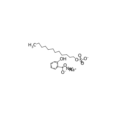 CCCCCCCCCCCCOS(=O)(=O)[O-].O=C([O-])c1ccccc1O.[Na+].[Na+]